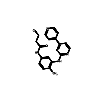 Cc1ccc(NC(=O)CCCl)cc1Nc1nccc(-c2ccncc2)n1